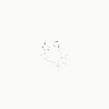 Cc1ccc(S(=O)(=O)OCC2O[C@H](OP(=O)(O)OP(=O)(O)OCC3OC(n4ccc(=O)[nH]c4=O)[C@H](O)[C@@H]3O)C(O)[C@@H](O)C2O)cc1